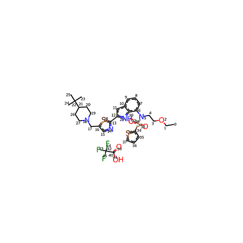 CCOCCN(c1cccc2cc(-c3ncc(CN4CCC(C(C)(C)C)CC4)s3)[nH]c12)S(=O)(=O)c1cccs1.O=C(O)C(F)(F)F